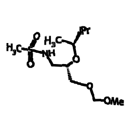 COCOC[C@H](CNS(C)(=O)=O)O[C@@H](C)C(C)C